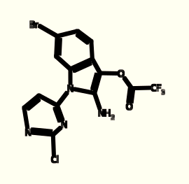 Nc1c(OC(=O)C(F)(F)F)c2ccc(Br)cc2n1-c1ccnc(Cl)n1